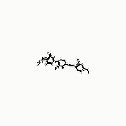 CCc1ccc(C#Cc2ccc(-c3cc(F)c(N=C=S)c(F)c3)c(F)c2)c(F)c1